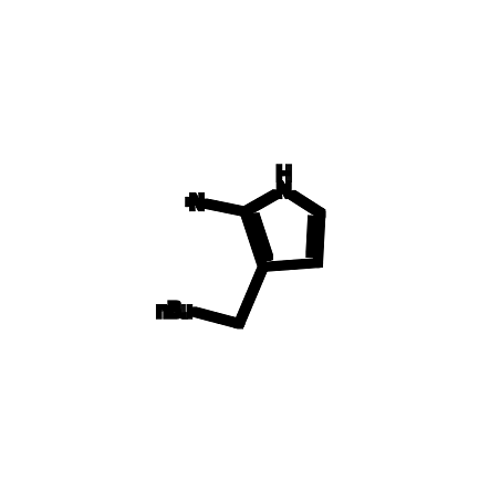 CCCCCc1cc[nH]c1[N]